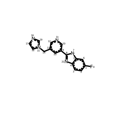 Fc1ccc2c(c1)[N]C(c1cncc(Cn3ccnc3)c1)=N2